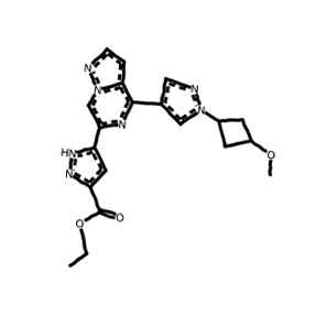 CCOC(=O)c1cc(-c2cn3nccc3c(-c3cnn(C4CC(OC)C4)c3)n2)[nH]n1